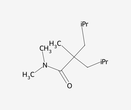 CC(C)CC(C)(CC(C)C)C(=O)N(C)C